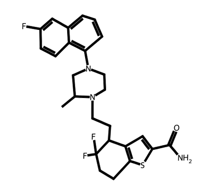 CC1CN(c2cccc3cc(F)ccc23)CCN1CCC1c2cc(C(N)=O)sc2CCC1(F)F